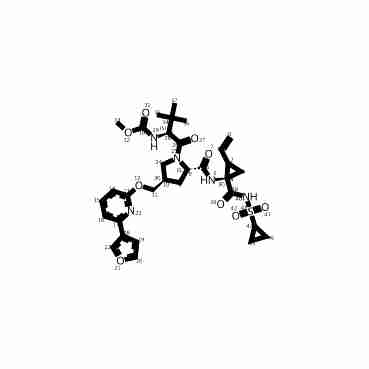 C=CC1C[C@]1(NC(=O)[C@@H]1C[C@@H](COc2cccc(-c3ccoc3)n2)CN1C(=O)[C@@H](NC(=O)OC)C(C)(C)C)C(=O)NS(=O)(=O)C1CC1